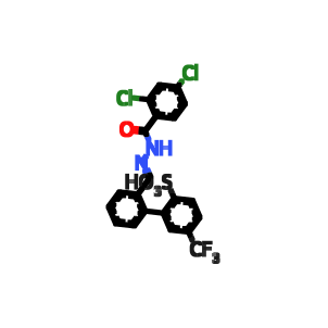 O=C(N/N=C/c1ccccc1-c1cc(C(F)(F)F)ccc1S(=O)(=O)O)c1ccc(Cl)cc1Cl